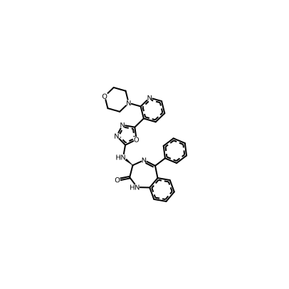 O=C1Nc2ccccc2C(c2ccccc2)=N[C@@H]1Nc1nnc(-c2cccnc2N2CCOCC2)o1